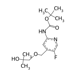 CC(C)(O)COCc1cc(NC(=O)OC(C)(C)C)ncc1F